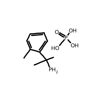 Cc1ccccc1C(C)(C)P.O=P(O)(O)O